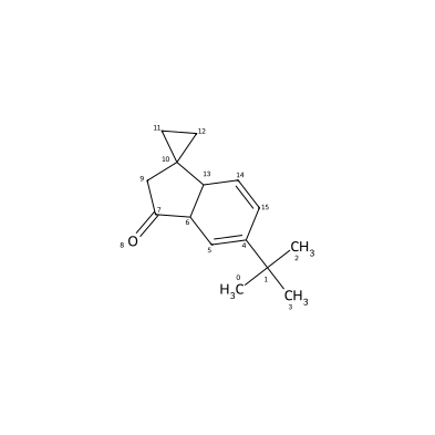 CC(C)(C)C1=CC2C(=O)CC3(CC3)C2C=C1